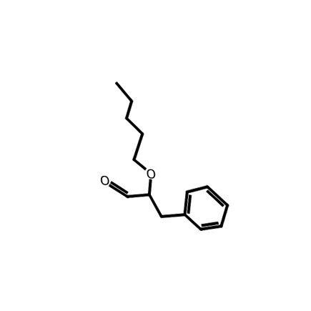 CCCCCOC(C=O)Cc1ccccc1